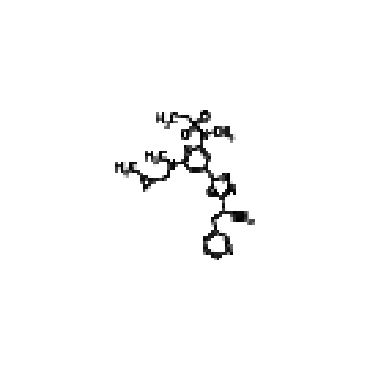 CCS(=O)(=O)N(C)c1cc(-c2nnc(C(N)Cc3cccnc3)o2)cc(N(C)CC2CC2C)n1